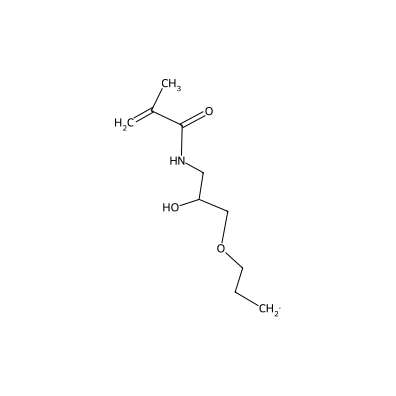 [CH2]CCOCC(O)CNC(=O)C(=C)C